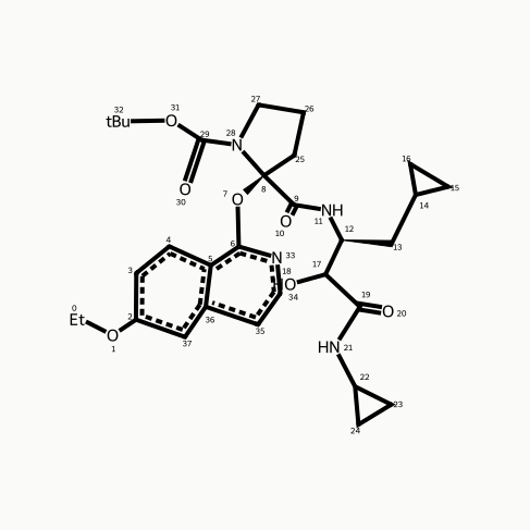 CCOc1ccc2c(O[C@]3(C(=O)N[C@@H](CC4CC4)C(O)C(=O)NC4CC4)CCCN3C(=O)OC(C)(C)C)nccc2c1